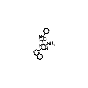 Nc1ncc(-c2cccc3ccccc23)nc1-c1nnc(-c2ccccc2)o1